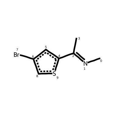 C/N=C(\C)c1cc(Br)cs1